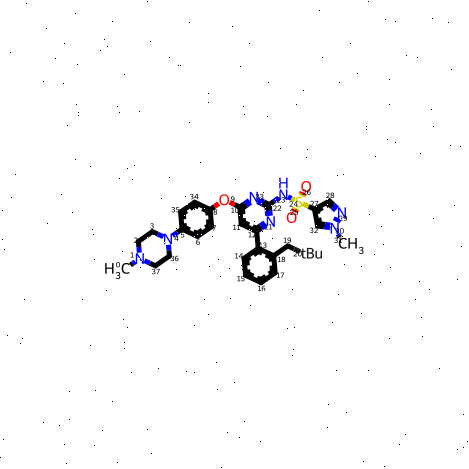 CN1CCN(c2ccc(Oc3cc(-c4ccccc4CC(C)(C)C)nc(NS(=O)(=O)c4cnn(C)c4)n3)cc2)CC1